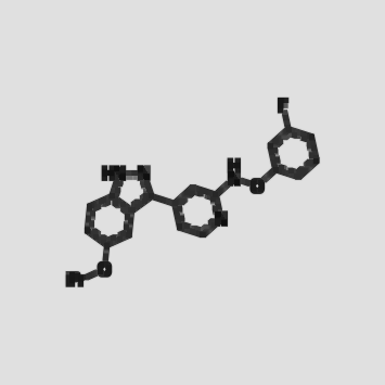 CC(C)Oc1ccc2[nH]nc(-c3ccnc(NOc4cccc(F)c4)c3)c2c1